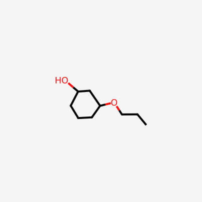 CCCOC1CCCC(O)C1